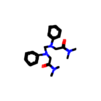 CN(C)C(=O)CN(CN(CC(=O)N(C)C)c1ccccc1)c1ccccc1